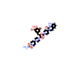 NS(=O)(=O)N1CCC(N2CCN(C(=O)[C@@H](Cc3cc(Br)c(O)c(Br)c3)OC(=O)N3CCC(N4CCc5ccccc5NC4=O)CC3)CC2)CC1